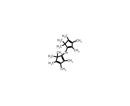 CC1=C(C)C(C)(C)[C]([Th][C]2=C(C)C(C)=C(C)C2(C)C)=C1C